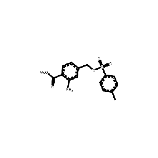 COC(=O)c1ccc(COS(=O)(=O)c2ccc(C)cc2)cc1N